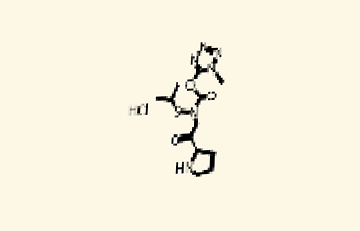 CC(C)SN(CC(=O)[C@H]1CCCN1)C(=O)Oc1nnnn1C.Cl